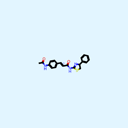 CC(=O)Nc1ccc(/C=C/C(=O)NC2=NC(c3ccccc3)CS2)cc1